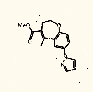 COC(=O)C1=C(C)c2cc(-n3cccn3)ccc2OCC1